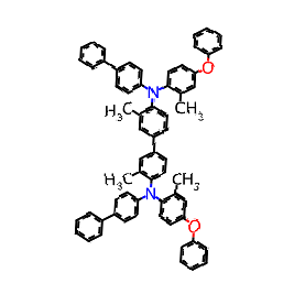 Cc1cc(Oc2ccccc2)ccc1N(c1ccc(-c2ccccc2)cc1)c1ccc(-c2ccc(N(c3ccc(-c4ccccc4)cc3)c3ccc(Oc4ccccc4)cc3C)c(C)c2)cc1C